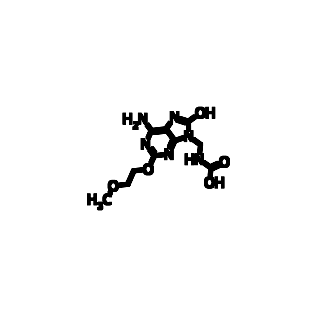 COCCOc1nc(N)c2nc(O)n(CNC(=O)O)c2n1